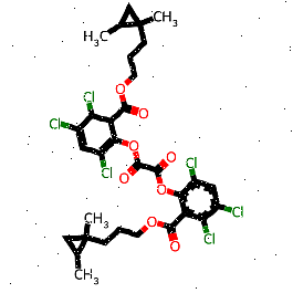 CC1CC1(C)CCCOC(=O)c1c(Cl)c(Cl)cc(Cl)c1OC(=O)C(=O)OC1=C(Cl)C=C(Cl)C(Cl)C1C(=O)OCCCC1(C)CC1C